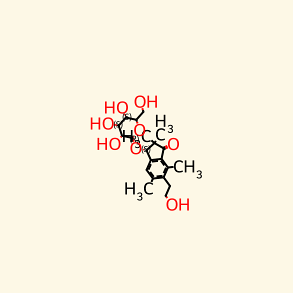 Cc1cc2c(c(C)c1CCO)C(=O)C(C)(C)[C@H]2O[C@@H]1OC(CO)[C@@H](O)[C@H](O)C1O